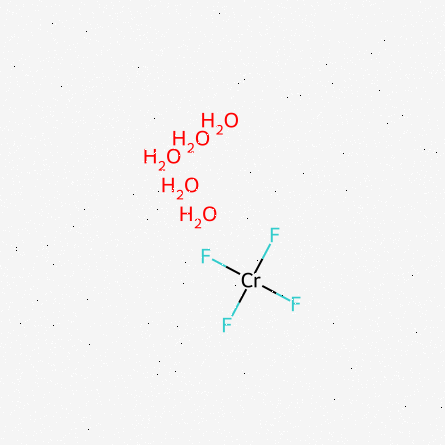 O.O.O.O.O.[F][Cr]([F])([F])[F]